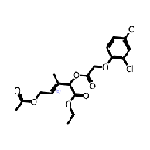 CCOC(=O)C(OC(=O)COc1ccc(Cl)cc1Cl)/C(C)=C/COC(C)=O